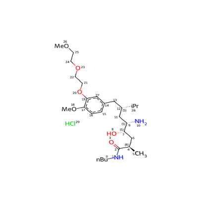 CCCCNC(=O)[C@H](C)C[C@H](O)[C@@H](N)C[C@H](Cc1ccc(OC)c(OCCOCCOC)c1)C(C)C.Cl